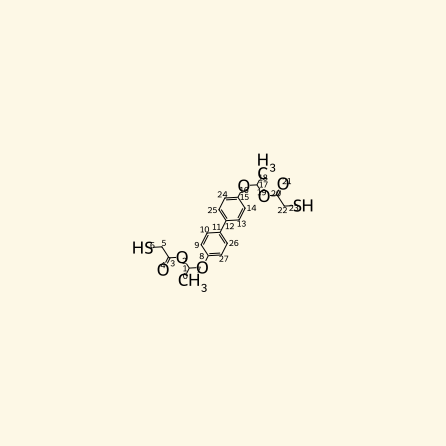 CC(OC(=O)CS)Oc1ccc(-c2ccc(OC(C)OC(=O)CS)cc2)cc1